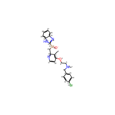 Cc1c(OCCN(C)Cc2ccc(Br)cc2)ccnc1C[S+]([O-])c1nc2ccccc2[nH]1